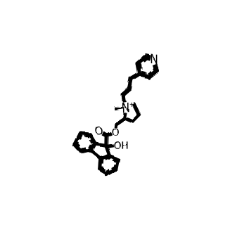 C[N@@+]1(CCCc2ccncc2)CCCC1COC(=O)C1(O)c2ccccc2-c2ccccc21